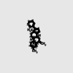 C=C1C[C@H]2C3=CC=C(c4cccnc4)[C@@]3(C)CC[C@@H]2[C@@]2(C)CC=C(C)C=C12